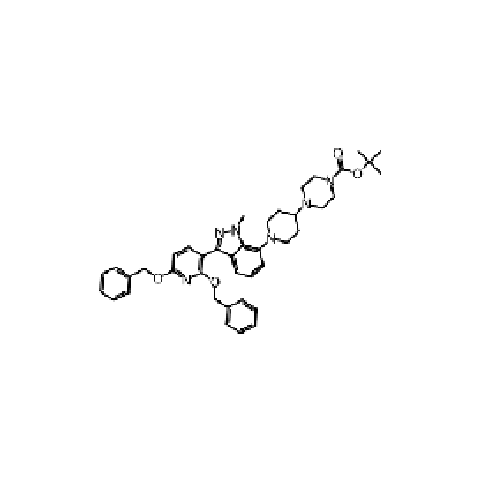 Cn1nc(-c2ccc(OCc3ccccc3)nc2OCc2ccccc2)c2cccc(N3CCC(N4CCN(C(=O)OC(C)(C)C)CC4)CC3)c21